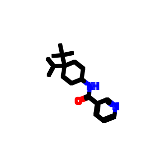 CC(C)C1(C(C)(C)C)CCC(NC(=O)c2cccnc2)CC1